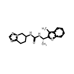 Cc1c([C@H](C)NC(=O)NC2CCc3ncnn3C2)oc2ccccc12